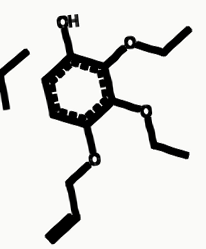 C=CCOc1ccc(O)c(OCC)c1OCC.CCC